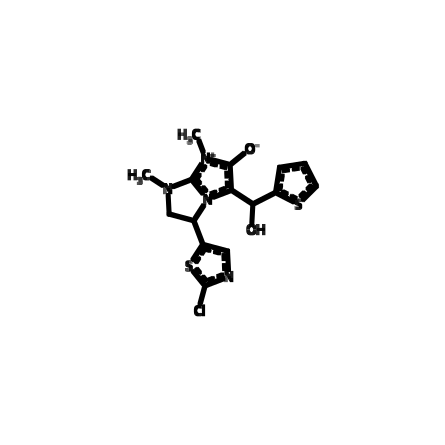 CN1CC(c2cnc(Cl)s2)n2c(C(O)c3cccs3)c([O-])[n+](C)c21